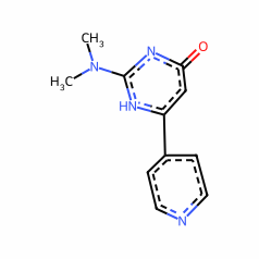 CN(C)c1nc(=O)cc(-c2ccncc2)[nH]1